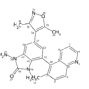 Cc1ccc2ncccc2c1-c1cc(-c2c(C)noc2C)cc2c1n(C)c(=O)n2N